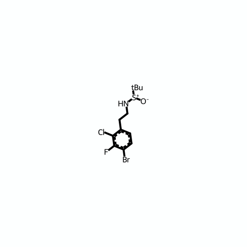 CC(C)(C)[S+]([O-])NCCc1ccc(Br)c(F)c1Cl